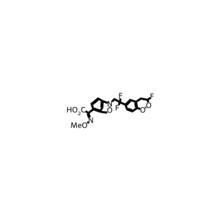 CON=C(C(=O)O)c1ccc2cc1CON2CC(F)(F)c1ccc2c(c1)CC(F)OO2